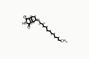 CCCCCCCCCCCCSC1CC2CC1C1C(=O)NC(=O)C21